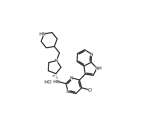 Cl.Clc1cnc(N[C@@H]2CCN(CC3CCNCC3)C2)nc1-c1c[nH]c2ncccc12